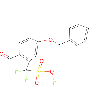 O=Cc1ccc(OCc2ccccc2)cc1C(F)(F)S(=O)(=O)OF